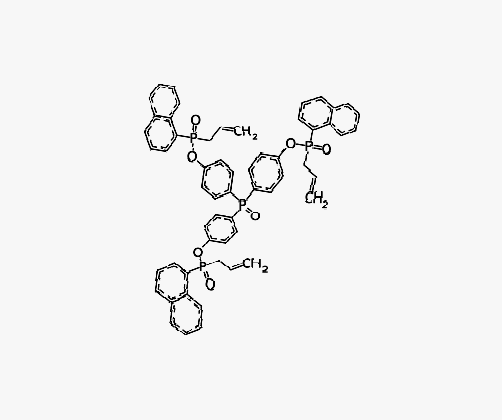 C=CCP(=O)(Oc1ccc(P(=O)(c2ccc(OP(=O)(CC=C)c3cccc4ccccc34)cc2)c2ccc(OP(=O)(CC=C)c3cccc4ccccc34)cc2)cc1)c1cccc2ccccc12